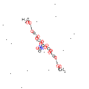 C=CC(=O)OCCCCCCOc1ccc(CCC(=O)O[C@H]2CC[C@H](C(=O)Oc3ccc(OC(=O)[C@H]4CC[C@H](OC(=O)CCc5ccc(OCCCCCCOC(=O)C=C)cc5)CC4)c4nc5c(nc34)C(=O)c3ccccc3-5)CC2)cc1